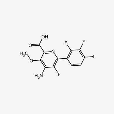 COc1c(C(=O)O)nc(-c2ccc(I)c(F)c2F)c(F)c1N